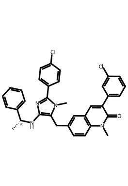 C[C@@H](Nc1nc(-c2ccc(Cl)cc2)n(C)c1Cc1ccc2c(c1)cc(-c1cccc(Cl)c1)c(=O)n2C)c1ccccc1